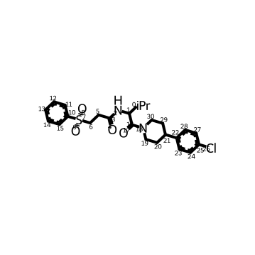 CC(C)C(NC(=O)CCS(=O)(=O)c1ccccc1)C(=O)N1CCC(c2ccc(Cl)cc2)CC1